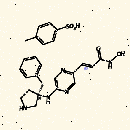 Cc1ccc(S(=O)(=O)O)cc1.O=C(/C=C/c1cnc(N[C@]2(Cc3ccccc3)CCNC2)cn1)NO